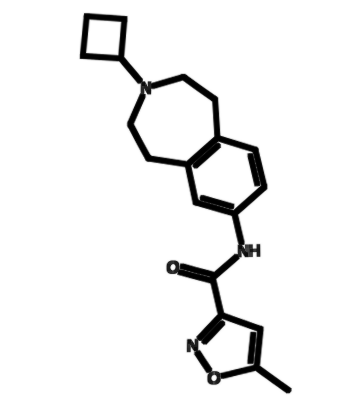 Cc1cc(C(=O)Nc2ccc3c(c2)CCN(C2CCC2)CC3)no1